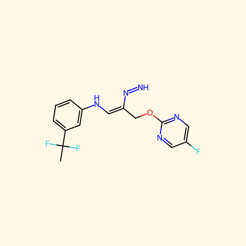 CC(F)(F)c1cccc(N/C=C(/COc2ncc(F)cn2)N=N)c1